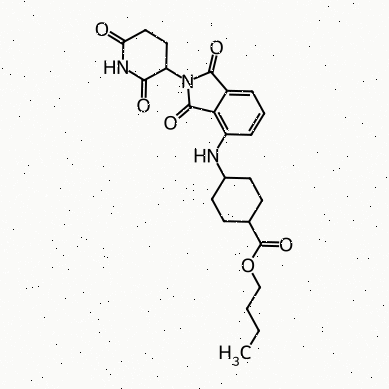 CCCCOC(=O)C1CCC(Nc2cccc3c2C(=O)N(C2CCC(=O)NC2=O)C3=O)CC1